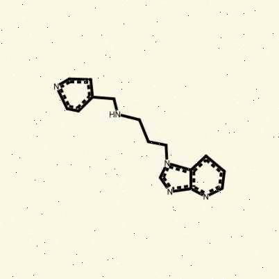 c1cnc2ncn(CCCNCc3ccncc3)c2c1